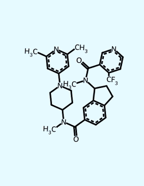 Cc1cc(N2CCC(N(C)C(=O)c3ccc4c(c3)C(N(C)C(=O)c3cnccc3C(F)(F)F)CC4)CC2)cc(C)n1